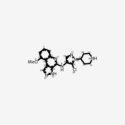 COc1cccc2nc(Nc3cnn(C4CCNCC4)c3Cl)c3[nH]ncc3c12